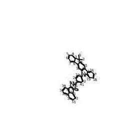 CC1(C)c2ccccc2-c2cc3c(cc21)c1ccccc1n3-c1ccc(-c2nc3c(s2)-c2cccc4cccc-3c24)cc1